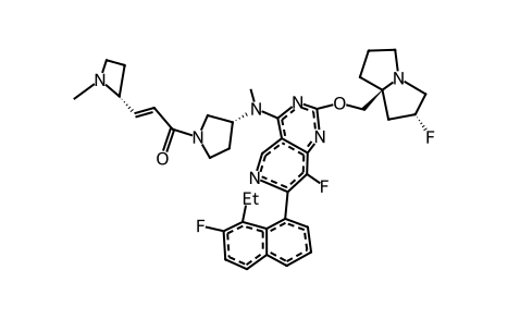 CCc1c(F)ccc2cccc(-c3ncc4c(N(C)[C@@H]5CCN(C(=O)/C=C/[C@H]6CCN6C)C5)nc(OC[C@@]56CCCN5C[C@H](F)C6)nc4c3F)c12